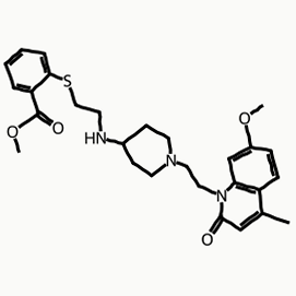 COC(=O)c1ccccc1SCCNC1CCN(CCn2c(=O)cc(C)c3ccc(OC)cc32)CC1